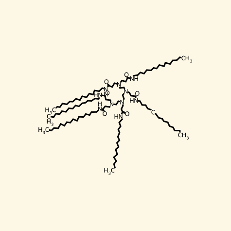 CCCCCCCCCCCCCCCCNC(=O)CCN(CCC(=O)NCCCCCCCCCCCCCCCC)CCN(CCC(=O)NCCCCCCCCCCCCCCCC)CCN(CCC(=O)NCCCCCCCCCCCCCCCC)CCN(CCC(=O)NCCCCCCCCCCCCCCCC)CCC(=O)NCCCCCCCCCCCCCCCC